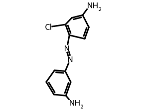 Nc1cccc(/N=N/c2ccc(N)cc2Cl)c1